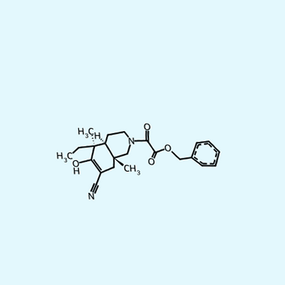 CC[C@]1(C)C(O)=C(C#N)C[C@@]2(C)CN(C(=O)C(=O)OCc3ccccc3)CC[C@@H]21